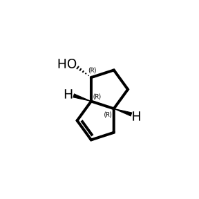 O[C@@H]1CC[C@@H]2CC=C[C@@H]21